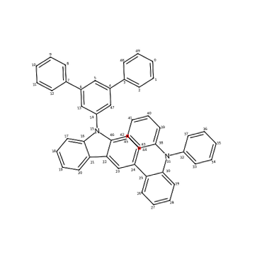 c1ccc(-c2cc(-c3ccccc3)cc(-n3c4ccccc4c4cc(-c5ccccc5N(c5ccccc5)c5ccccc5)ccc43)c2)cc1